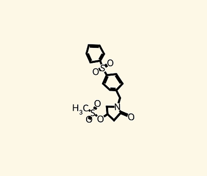 CS(=O)(=O)OC1CC(=O)N(Cc2ccc(S(=O)(=O)c3ccccc3)cc2)C1